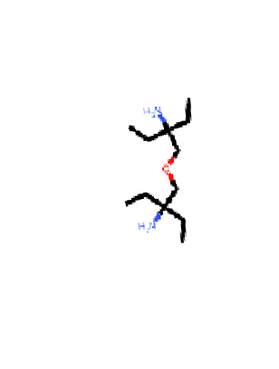 CCC(N)(CC)COCC(N)(CC)CC